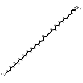 [CH2]/C=C/CCCCCCCCCCCCCCCCCCCCCCCCCCCCCCCCC